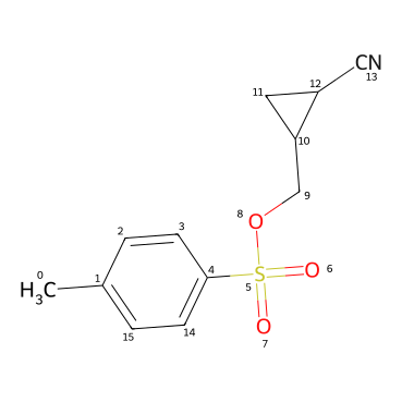 Cc1ccc(S(=O)(=O)OCC2CC2C#N)cc1